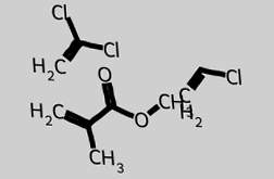 C=C(C)C(=O)OC.C=C(Cl)Cl.C=CCl